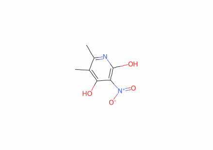 Cc1nc(O)c([N+](=O)[O-])c(O)c1C